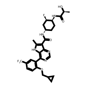 Cc1[nH]c2c(-c3cc(C(F)(F)F)ccc3OCC3CC3)ncnc2c1C(=O)N[C@H]1CC[C@H](NC(=O)[C@H](C)O)[C@H](F)C1